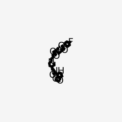 O=C(NCC1CCN(CCCS(=O)(=O)N2CCN(S(=O)(=O)c3ccc(F)cc3)CC2)CC1)c1cccc2c1OCCO2